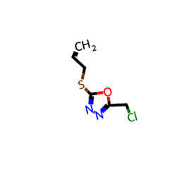 C=CCSc1nnc(CCl)o1